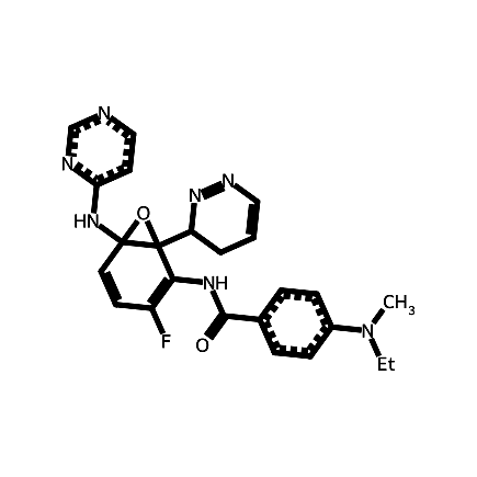 CCN(C)c1ccc(C(=O)NC2=C(F)C=CC3(Nc4ccncn4)OC23C2CC=CN=N2)cc1